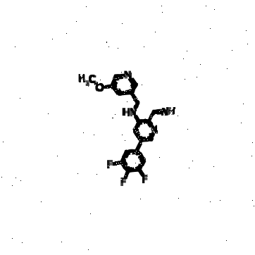 COc1cncc(CNc2cc(-c3cc(F)c(F)c(F)c3)cnc2C=N)c1